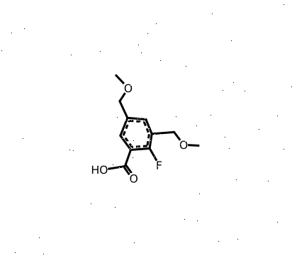 COCc1cc(COC)c(F)c(C(=O)O)c1